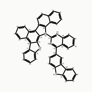 c1ccc2c(c1)ccc1c3c4ccccc4c4c5ccccc5oc4c3n(-c3nc(-c4ccc5sc6ccccc6c5c4)c4ccccc4n3)c21